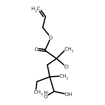 C=CCOC(=O)C(C)(Cl)CC(C)(CC)C(O)O